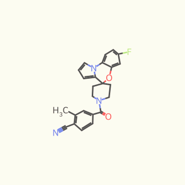 Cc1cc(C(=O)N2CCC3(CC2)Oc2cc(F)ccc2-n2cccc23)ccc1C#N